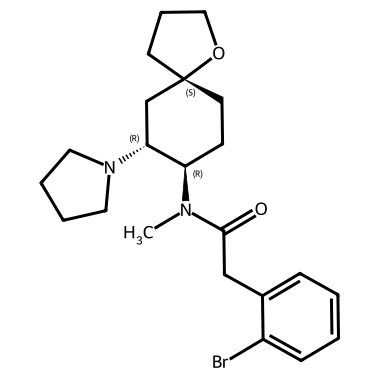 CN(C(=O)Cc1ccccc1Br)[C@@H]1CC[C@]2(CCCO2)C[C@H]1N1CCCC1